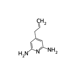 C=CCc1cc(N)nc(N)c1